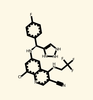 N#Cc1cnc2c(Cl)cc(N[C@H](C3=CNNN3)c3ccc(F)cc3)cc2c1NCC(F)(F)F